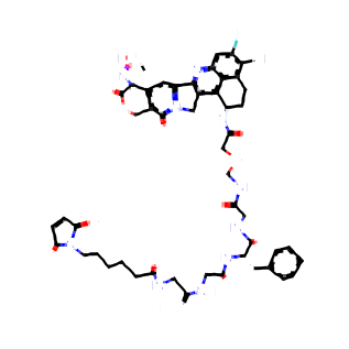 C=C(CNC(=O)CCCCCN1C(=O)C=CC1=O)NCC(=O)N[C@@H](Cc1ccccc1)C(=O)NCC(=O)NCOCC(=O)N[C@H]1CCc2c(C)c(F)cc3nc4c(c1c23)Cn1c-4cc2c(c1=O)COC(=O)[C@@]2(CC)N=O